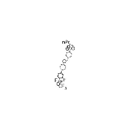 CCCC12COC(C3CCC(COC4CCC(c5ccc(C(F)(F)OC(F)(F)F)c(F)c5)CC4)CC3)(OC1)O2